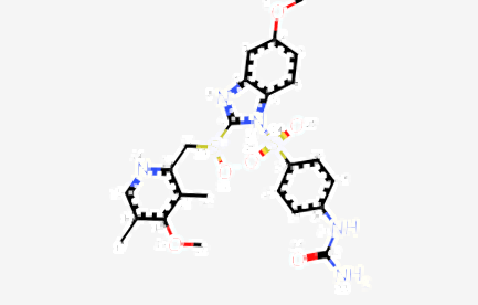 COc1ccc2c(c1)nc([S+]([O-])Cc1ncc(C)c(OC)c1C)n2S(=O)(=O)c1ccc(NC(N)=O)cc1